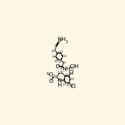 COC(=O)[C@H]1C[C@H](NC(=O)Cc2ccc(CC#CN)cc2)c2c(Cl)cc(Cl)cc2N1.Cl